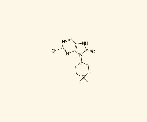 C[Si]1(C)CCC(n2c(=O)[nH]c3cnc(Cl)nc32)CC1